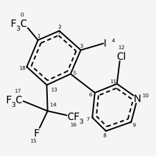 FC(F)(F)c1[c]c(I)c(-c2cccnc2Cl)c(C(F)(C(F)(F)F)C(F)(F)F)c1